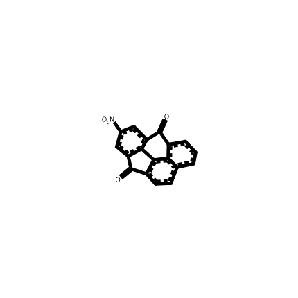 O=C1c2cc([N+](=O)[O-])cc3c2-c2c1ccc1cccc(c21)C3=O